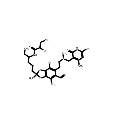 CCC(CCCC1(C)Oc2c(C)c(C=O)c(CCN(C)Cc3c(C)cc(C)[nH]c3=O)c(Cl)c2O1)NC(=O)C(O)CC